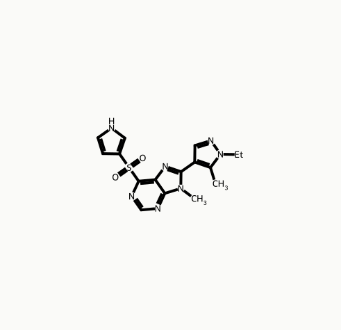 CCn1ncc(-c2nc3c(S(=O)(=O)c4cc[nH]c4)ncnc3n2C)c1C